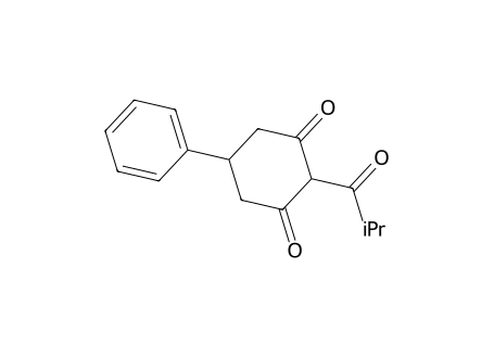 CC(C)C(=O)C1C(=O)CC(c2ccccc2)CC1=O